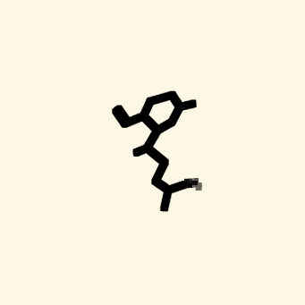 C=CC1CCC(C)CC1C(C)CCC(C)N